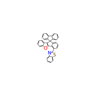 c1ccc2c(c1)-c1ccccc1C21c2cccc(-c3nc4ccccc4s3)c2-c2oc3ccccc3c21